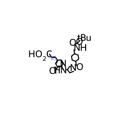 CC(C)(C)OC(=O)NCC1CCC(C(=O)N2CCC(Nc3ncc(/C=C/C(=O)O)cc3Cl)C2)CC1